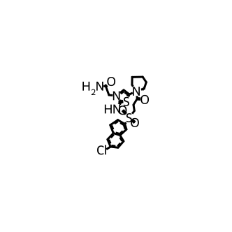 N=c1sc([N+]2(C(=O)CCS(=O)(=O)c3ccc4cc(Cl)ccc4c3)CCCCC2)cn1CC(N)=O